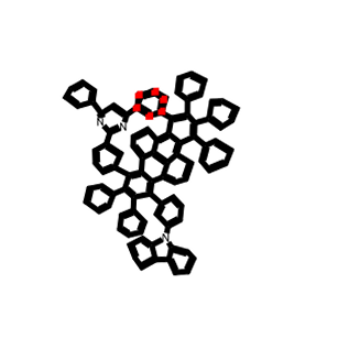 c1ccc(-c2cc(-c3ccccc3)nc(-c3cccc(-c4c(-c5ccccc5)c(-c5ccccc5)c(-c5cccc(-n6c7ccccc7c7ccccc76)c5)c5c6cccc7c8c(-c9ccccc9)c(-c9ccccc9)c(-c9ccccc9)c(-c9ccccc9)c8c8cccc(c45)c8c76)c3)n2)cc1